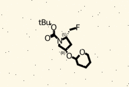 CC(C)(C)OC(=O)N1C[C@H](OC2CCCCO2)C[C@H]1CF